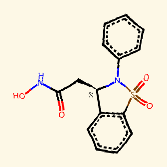 O=C(C[C@@H]1c2ccccc2S(=O)(=O)N1c1ccccc1)NO